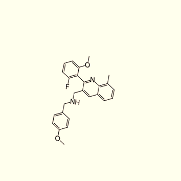 COc1ccc(CNCc2cc3cccc(C)c3nc2-c2c(F)cccc2OC)cc1